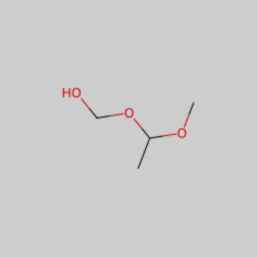 COC(C)OCO